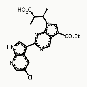 CCOC(=O)c1cn([C@H](C)[C@@H](C)C(=O)O)c2nc(-c3c[nH]c4ncc(Cl)cc34)ncc12